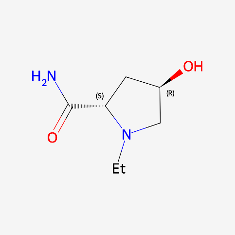 CCN1C[C@H](O)C[C@H]1C(N)=O